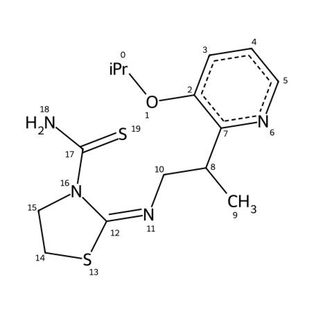 CC(C)Oc1cccnc1C(C)CN=C1SCCN1C(N)=S